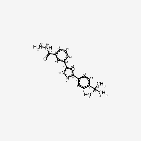 CC(C)(C)c1ccc(-c2nnc(-c3cccc(C(=O)NN)c3)o2)cc1